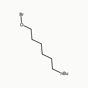 CCCCCCCCCCOBr